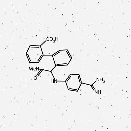 CNC(=O)C(Nc1ccc(C(=N)N)cc1)c1ccccc1-c1ccccc1C(=O)O